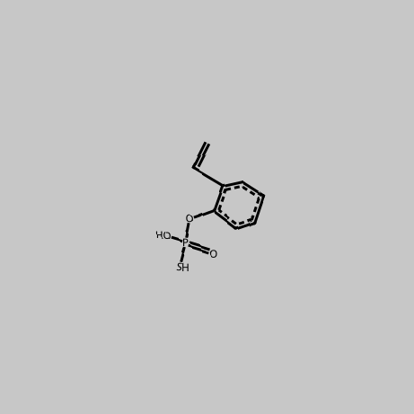 C=Cc1ccccc1OP(=O)(O)S